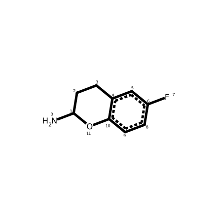 NC1CCc2cc(F)ccc2O1